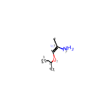 CCC(CC)O/C=C(/C)N